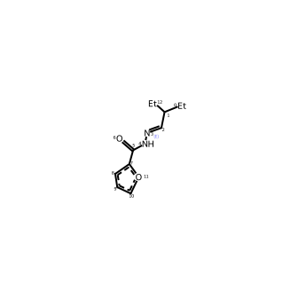 CCC(/C=N/NC(=O)c1ccco1)CC